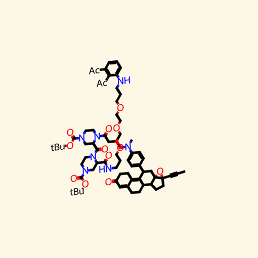 CC#CC12CCC3C4CCC5=CC(=O)CCC5=C4C(c4ccc(N(C)CCCC(=O)N5CCN(C(=O)OC(C)(C)C)CC5C(=O)N5CCN(C(=O)OC(C)(C)C)CC5C(=O)NCCCOCCOCCOCCCNc5cccc(C(C)=O)c5C(C)=O)cc4)CC31O2